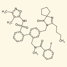 CCCCC1=NC2(CCCC2)C(=O)N1Cc1ccc(-c2ccccc2S(=O)(=O)Nc2onc(C)c2C)c(CN(C)C(=O)c2ccccc2F)c1